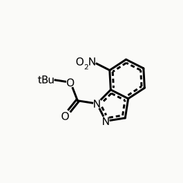 CC(C)(C)OC(=O)n1ncc2cccc([N+](=O)[O-])c21